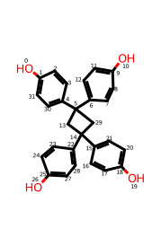 Oc1ccc(C2(c3ccc(O)cc3)CC(c3ccc(O)cc3)(c3ccc(O)cc3)C2)cc1